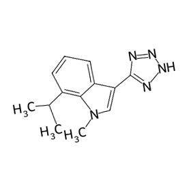 CC(C)c1cccc2c(-c3nn[nH]n3)cn(C)c12